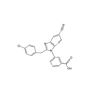 N#Cc1ccc2c(c1)nc(Cc1ccc(Cl)cc1)n2-c1cccc(C(=O)O)c1